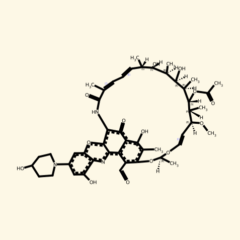 CO[C@H]1/C=C/O[C@@H](C)Oc2c(C)c(O)c3c(=O)c(c4oc5cc(N6CCC(O)CC6)cc(O)c5nc-4c3c2C=O)NC(=O)/C(C)=C\C=C\[C@H](C)[C@H](O)[C@@H](C)[C@@H](O)[C@@H](C)[C@H](OC(C)=O)[C@@H]1C